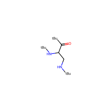 CC(C)(C)NCC(NC(C)(C)C)C(=O)C(C)(C)C